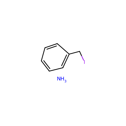 ICc1ccccc1.N